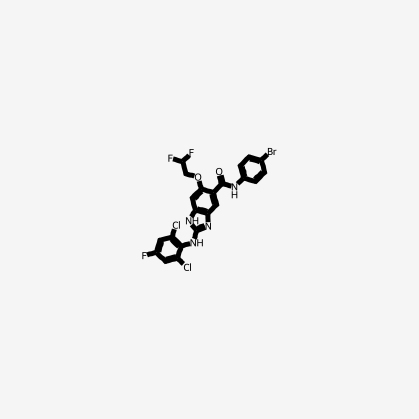 O=C(Nc1ccc(Br)cc1)c1cc2nc(Nc3c(Cl)cc(F)cc3Cl)[nH]c2cc1OCC(F)F